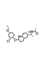 CCOc1ccc(Oc2ccc3cc(C(C)NC(C)=O)ccc3n2)c(Cl)c1